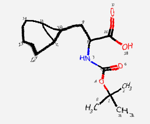 CC(C)(C)OC(=O)NC(CC1C2CCCC21)C(=O)O